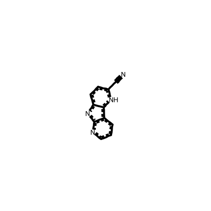 N#Cc1ccc2nc3ncccc3c-2[nH]1